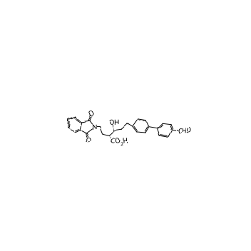 O=Cc1ccc(-c2ccc(CC[C@H](O)[C@@H](CCN3C(=O)c4ccccc4C3=O)C(=O)O)cc2)cc1